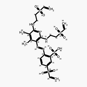 C=CS(=O)(=O)CCNc1nc(NCCS(=O)(=O)C=C)c(/N=N/c2ccc(S(=O)(=O)C=C)cc2S(=O)(=O)O)c(C)c1N